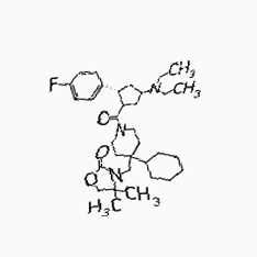 CCN(CC)[C@H]1CC(C(=O)N2CCC(CN3C(=O)OCC3(C)C)(C3CCCCC3)CC2)[C@H](c2ccc(F)cc2)C1